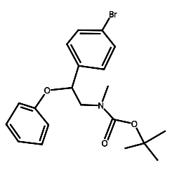 CN(CC(Oc1ccccc1)c1ccc(Br)cc1)C(=O)OC(C)(C)C